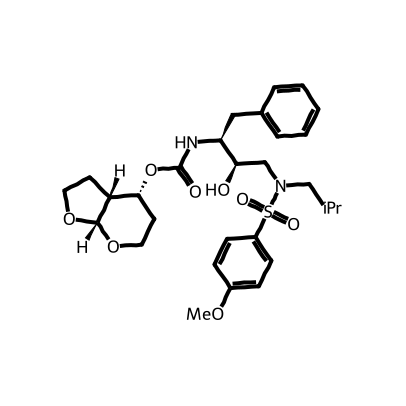 COc1ccc(S(=O)(=O)N(CC(C)C)C[C@@H](O)[C@H](Cc2ccccc2)NC(=O)O[C@@H]2CCO[C@@H]3OCC[C@@H]32)cc1